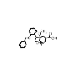 CCC(c1ccccc1OCc1ccccc1)C1(OC)C=CC=C(C(=O)O)C1